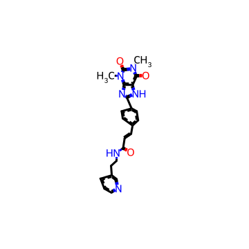 Cn1c(=O)c2[nH]c(-c3ccc(/C=C/C(=O)NCCc4cccnc4)cc3)nc2n(C)c1=O